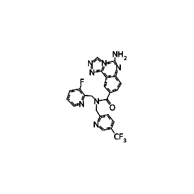 Nc1nc2ccc(C(=O)N(Cc3ccc(C(F)(F)F)cn3)Cc3ncccc3F)cc2c2nncn12